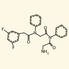 NCC(=O)N(C(=O)CN(C(=O)Cc1cc(F)cc(F)c1)c1ccccc1)c1ccccc1